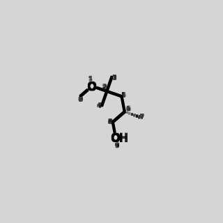 COC(C)(C)C[C@H](C)CO